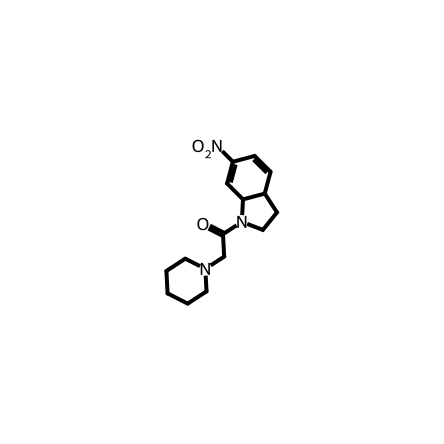 O=C(CN1CCCCC1)N1CCC2C=CC([N+](=O)[O-])=CC21